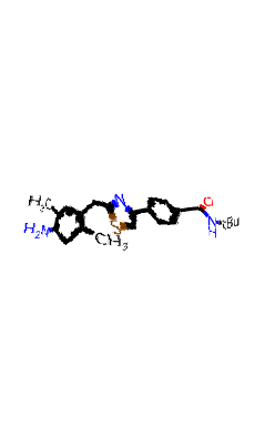 Cc1cc(Cc2nc(-c3ccc(C(=O)NC(C)(C)C)cc3)cs2)c(C)cc1N